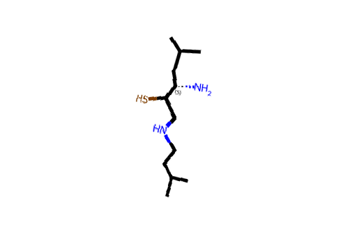 CC(C)CCNCC(S)[C@@H](N)CC(C)C